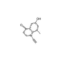 C#Cn1ccc(=O)c2cc(O)cc(C)c21